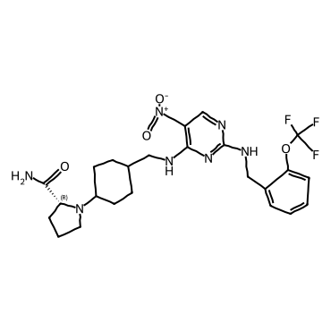 NC(=O)[C@H]1CCCN1C1CCC(CNc2nc(NCc3ccccc3OC(F)(F)F)ncc2[N+](=O)[O-])CC1